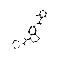 C/C(C(=O)N1CCOCC1)=C1/CCCc2cc(NC(=O)c3c(F)cccc3F)ccc21